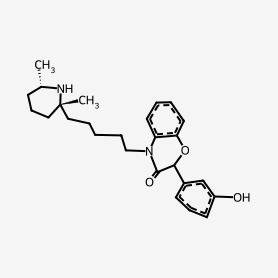 C[C@H]1CCC[C@@](C)(CCCCCN2C(=O)C(c3cccc(O)c3)Oc3ccccc32)N1